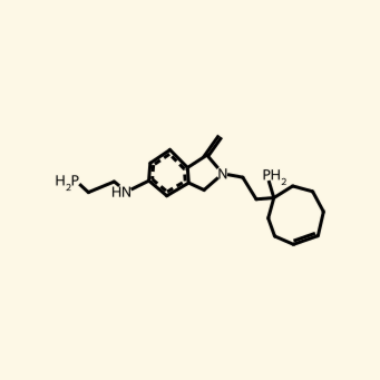 C=C1c2ccc(NCCP)cc2CN1CCC1(P)CC/C=C\CCC1